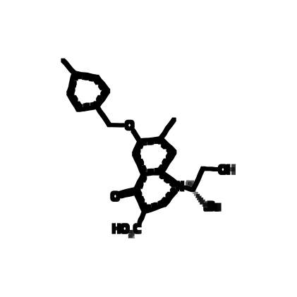 Cc1ccc(COc2cc3c(=O)c(C(=O)O)cn([C@H](CO)C(C)(C)C)c3cc2C)cc1